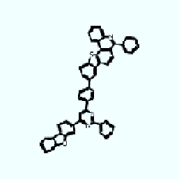 c1ccc(-c2nc(-c3ccc(-c4ccc5sc6c(ccc7c(-c8ccccc8)nc8ccccc8c76)c5c4)cc3)cc(-c3ccc4c(c3)oc3ccccc34)n2)cc1